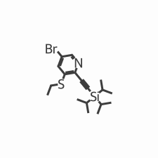 CCSc1cc(Br)cnc1C#C[Si](C(C)C)(C(C)C)C(C)C